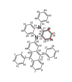 c1ccc(-c2c3ccccc3c(-c3ccccc3)c3cc(N(c4ccccc4)c4ccccc4N(c4ccccc4)c4ccccc4)ccc23)cc1